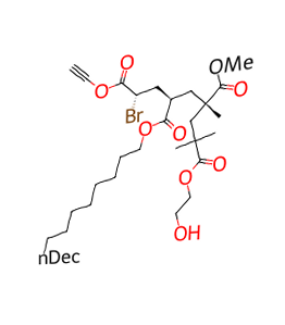 C#COC(=O)[C@@H](Br)C[C@@H](C[C@@](C)(CC(C)(C)C(=O)OCCO)C(=O)OC)C(=O)OCCCCCCCCCCCCCCCCCC